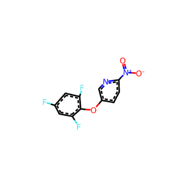 O=[N+]([O-])c1ccc(Oc2c(F)cc(F)cc2F)cn1